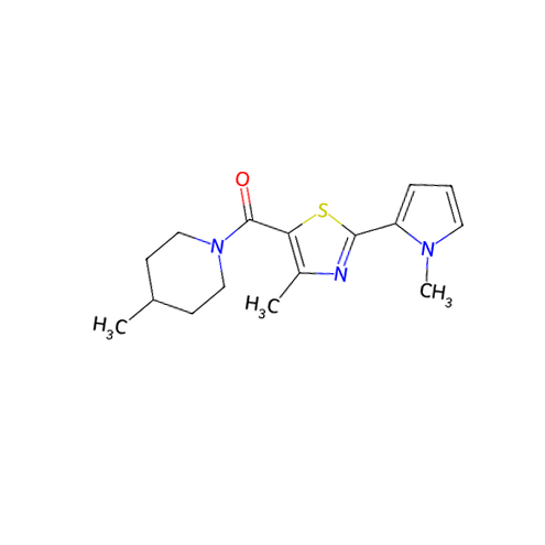 Cc1nc(-c2cccn2C)sc1C(=O)N1CCC(C)CC1